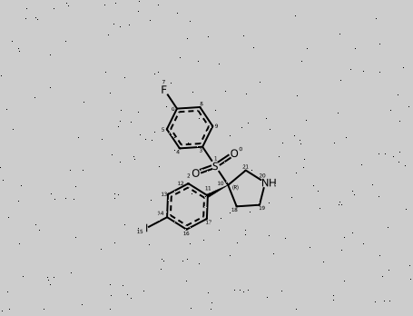 O=S(=O)(c1ccc(F)cc1)[C@@]1(c2ccc(I)cc2)CCNC1